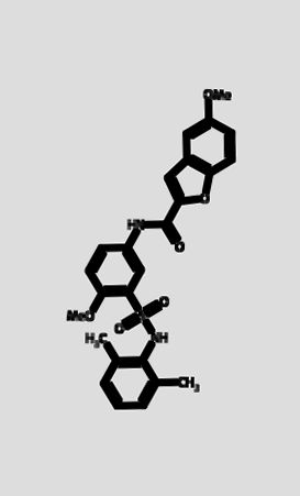 COc1ccc2oc(C(=O)Nc3ccc(OC)c(S(=O)(=O)Nc4c(C)cccc4C)c3)cc2c1